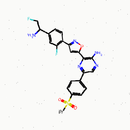 CC(C)S(=O)(=O)c1ccc(-c2cnc(N)c(-c3cc(-c4ccc(C(N)CF)cc4F)no3)n2)cc1